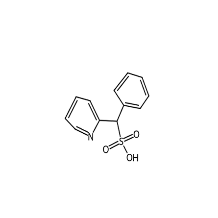 O=S(=O)(O)C(c1ccccc1)c1ccccn1